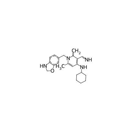 C=C1C(C=N)=C(NC2CCCCC2)C=C(C)N1Cc1ccc2c(c1)OCN2